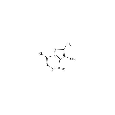 Cc1oc2c(Cl)n[nH]c(=O)c2c1C